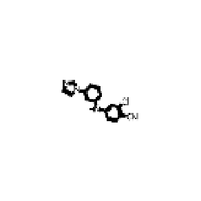 N#Cc1ccc(NC2CCCC(n3ccnc3)C2)cc1Cl